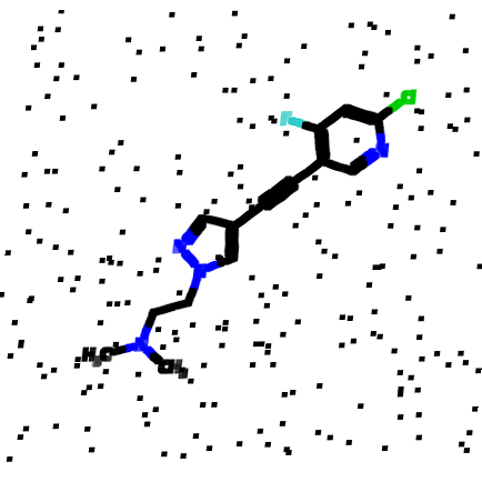 CN(C)CCn1cc(C#Cc2cnc(Cl)cc2F)cn1